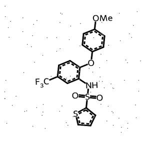 COc1ccc(Oc2ccc(C(F)(F)F)cc2NS(=O)(=O)c2cccs2)cc1